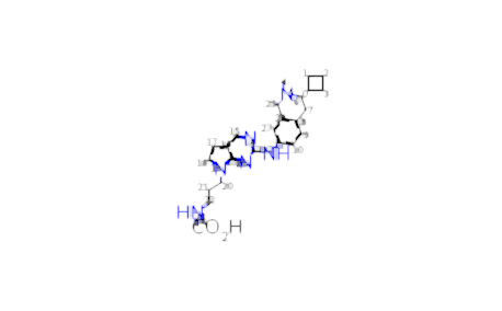 C1CCC1.CN1CCc2ccc(Nc3ncc4ccn(CCCNC(=O)O)c4n3)cc2C1